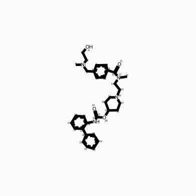 CN(CCO)Cc1ccc(C(=O)N(C)CCN2CCC(OC(=O)Nc3ccccc3-c3ccccc3)CC2)cc1